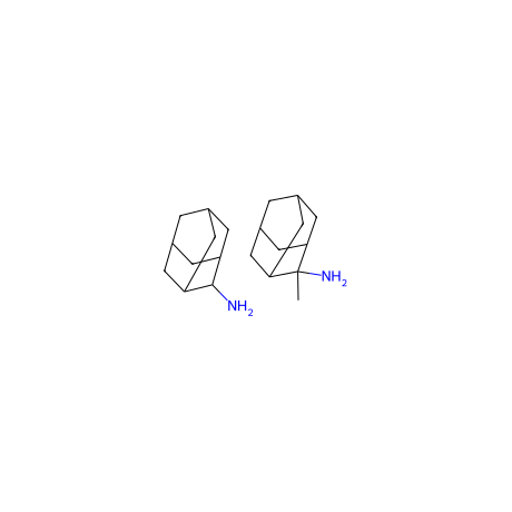 CC1(N)C2CC3CC(C2)CC1C3.NC1C2CC3CC(C2)CC1C3